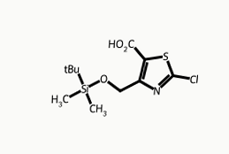 CC(C)(C)[Si](C)(C)OCc1nc(Cl)sc1C(=O)O